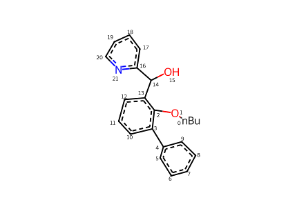 CCCCOc1c(-c2ccccc2)cccc1C(O)c1ccccn1